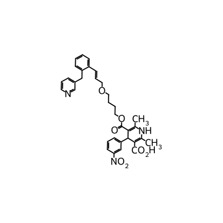 CC1=C(C(=O)O)C(c2cccc([N+](=O)[O-])c2)C(C(=O)OCCCCOC/C=C/c2ccccc2Cc2cccnc2)=C(C)N1